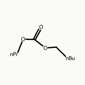 C[CH]COC(=O)OCCCCC